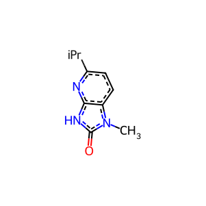 CC(C)c1ccc2c(n1)[nH]c(=O)n2C